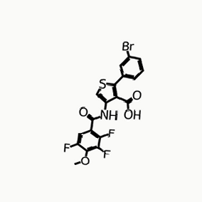 COc1c(F)cc(C(=O)Nc2csc(-c3cccc(Br)c3)c2C(=O)O)c(F)c1F